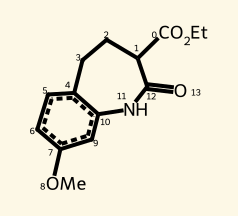 CCOC(=O)C1CCc2ccc(OC)cc2NC1=O